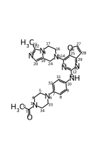 CC(=O)N1CCN(c2ccc(Nc3nc(N4CCn5c(cnc5C)C4)c4occc4n3)cc2)CC1